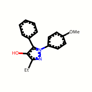 CCc1nn(-c2ccc(OC)cc2)c(-c2ccccc2)c1O